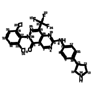 O=c1c2cnc(Nc3ccc(C4CCNC4)cc3)nc2c(C(F)(F)F)nn1-c1c(Cl)cccc1Cl